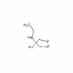 CCNC(C)(CF)CF